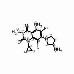 Nc1c(F)c(N2CCC(N)C2)c(F)c2c1c(=O)n(N)c(=O)n2C1CC1